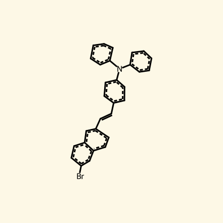 Brc1ccc2cc(C=Cc3ccc(N(c4ccccc4)c4ccccc4)cc3)ccc2c1